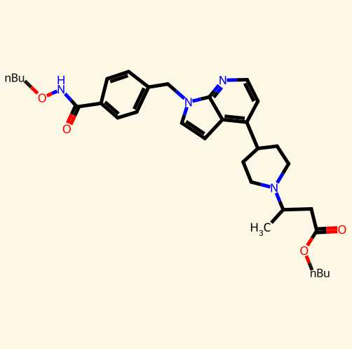 CCCCONC(=O)c1ccc(Cn2ccc3c(C4CCN(C(C)CC(=O)OCCCC)CC4)ccnc32)cc1